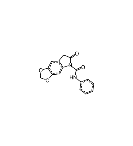 O=C1Cc2cc3c(cc2N1C(=O)Nc1ccccc1)OCO3